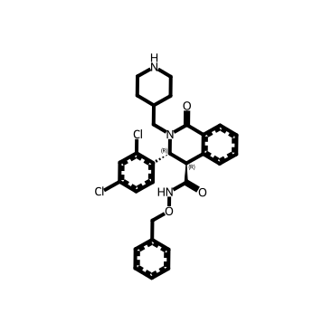 O=C(NOCc1ccccc1)[C@@H]1c2ccccc2C(=O)N(CC2CCNCC2)[C@H]1c1ccc(Cl)cc1Cl